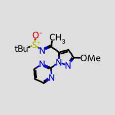 COc1cc(C(C)=N[S+]([O-])C(C)(C)C)n(-c2ncccn2)n1